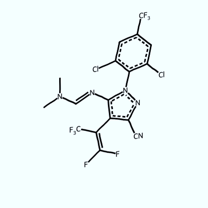 CN(C)C=Nc1c(C(=C(F)F)C(F)(F)F)c(C#N)nn1-c1c(Cl)cc(C(F)(F)F)cc1Cl